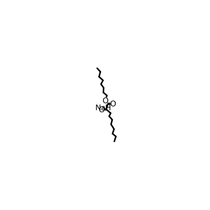 CCCCCCCCOC(=O)C(=O)CCCCCCCC.[NaH]